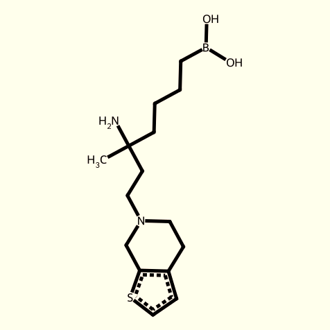 CC(N)(CCCCB(O)O)CCN1CCc2ccsc2C1